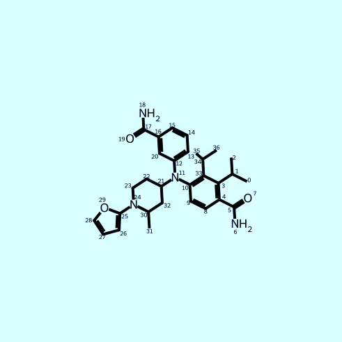 CC(C)c1c(C(N)=O)ccc(N(c2cccc(C(N)=O)c2)C2CCN(c3ccco3)C(C)C2)c1C(C)C